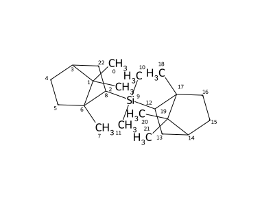 CC1(C)C2CCC1(C)C([Si](C)(C)C1CC3CCC1(C)C3(C)C)C2